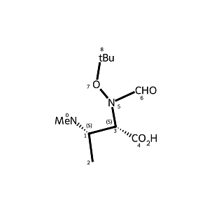 CN[C@@H](C)[C@@H](C(=O)O)N(C=O)OC(C)(C)C